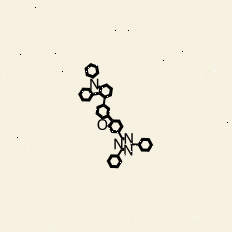 c1ccc(-c2nc(-c3ccccc3)nc(-c3ccc4c(c3)oc3ccc(-c5cccc6c5c5ccccc5n6-c5ccccc5)cc34)n2)cc1